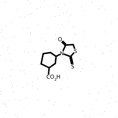 O=C(O)C1CCCC(N2C(=O)CSC2=S)C1